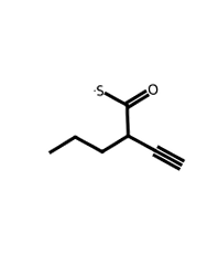 C#CC(CCC)C(=O)[S]